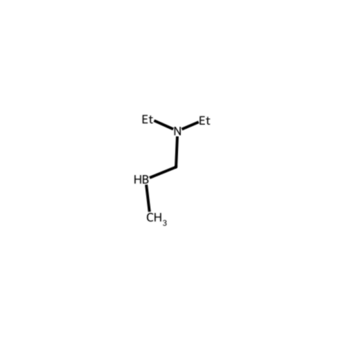 CBCN(CC)CC